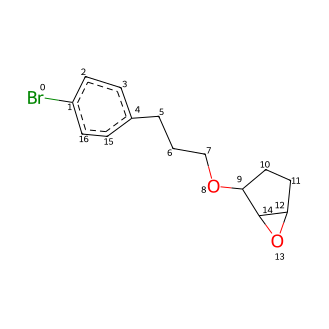 Brc1ccc(CCCOC2CCC3OC23)cc1